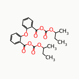 CCC(C)OC(=O)OC(=O)c1ccccc1Oc1ccccc1C(=O)OC(=O)OC(C)CC